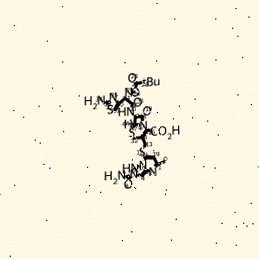 CC1=NC2=CN(C(N)=O)NN2C(SCC2=C(C(=O)O)N3C(=O)[C@@H](NC(=O)/C(=N\OC(=O)C(C)(C)C)c4csc(N)n4)[C@H]3SC2)=C1